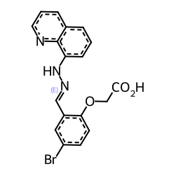 O=C(O)COc1ccc(Br)cc1/C=N/Nc1cccc2cccnc12